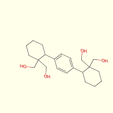 OCC1(CO)CCCCC1c1ccc(C2CCCCC2(CO)CO)cc1